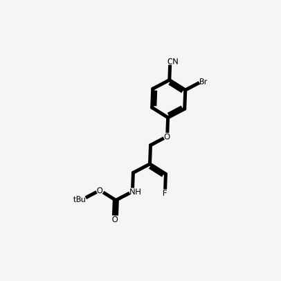 CC(C)(C)OC(=O)NCC(=CF)COc1ccc(C#N)c(Br)c1